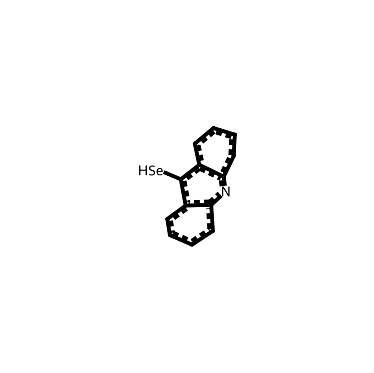 [SeH]c1c2ccccc2nc2ccccc12